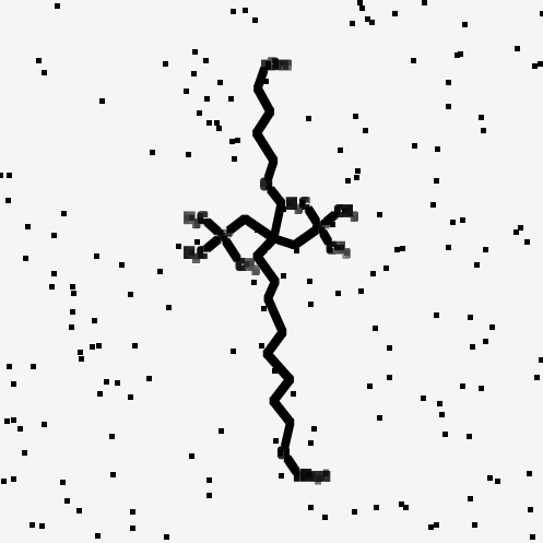 CCCCCCCCCCCCCCOCC(CCCCCCCCOCCCCCCC)(C[N+](C)(C)C)C[N+](C)(C)C